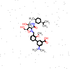 COC1=C(CN2O[C@@H](CO)[C@@H]([C@H](C)O)[C@H]2C(=O)N[C@H]2C[C@H](C(C)C)CC[C@@H]2C)C=CCC1C1C=C(C(=O)O)C=C(N(C)C)C1